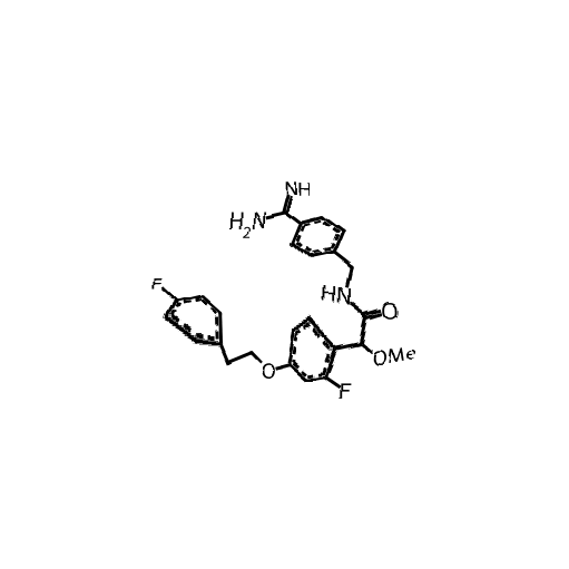 COC(C(=O)NCc1ccc(C(=N)N)cc1)c1ccc(OCCc2ccc(F)cc2)cc1F